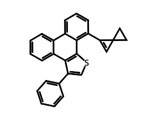 C1=C(c2cccc3c4ccccc4c4c(-c5ccccc5)csc4c23)C12CC2